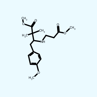 COC(=O)CCNC(Cc1ccc(OC)cc1)C(C)(C)C(=O)OC